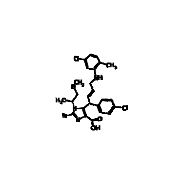 COC[C@H](C)n1c(Br)nc(C(=O)O)c1C(/C=C/CNc1cc(Cl)ccc1C)c1ccc(Cl)cc1